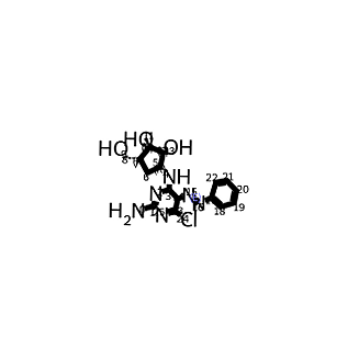 NC1=NC(N[C@@H]2C[C@H](CO)[C@@H](O)[C@H]2O)C(/N=N/c2ccccc2)C(Cl)=N1